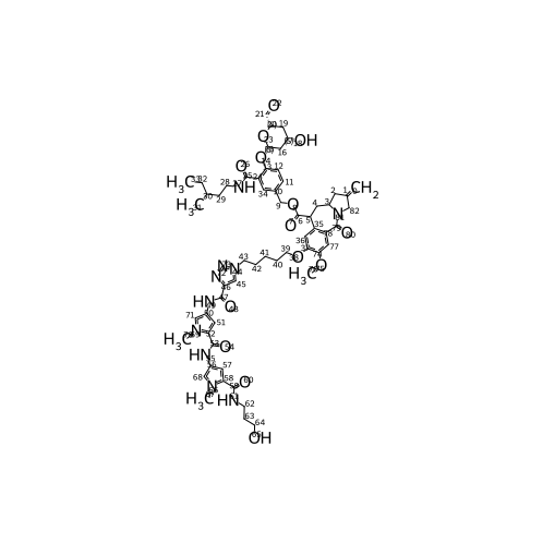 C=C1CC2CC(C(=O)OCc3ccc(O[C@H]4C[C@@H](O)C[C@@H](C=O)O4)c(C(=O)NCCC(C)CC)c3)c3cc(OCCCCCn4cc(C(=O)Nc5cc(C(=O)Nc6cc(C(=O)NCCCO)n(C)c6)n(C)c5)nn4)c(OC)cc3C(=O)N2C1